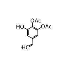 [CH]=Cc1cc(O)c(OC(C)=O)c(OC(C)=O)c1